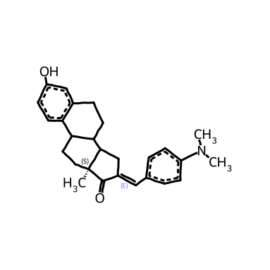 CN(C)c1ccc(/C=C2\CC3C4CCc5cc(O)ccc5C4CC[C@]3(C)C2=O)cc1